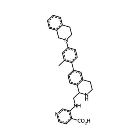 Cc1cc(N2CCc3ccccc3C2)ccc1-c1ccc2c(c1)CCNC2CNc1cnccc1C(=O)O